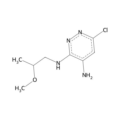 COC(C)CNc1nnc(Cl)cc1N